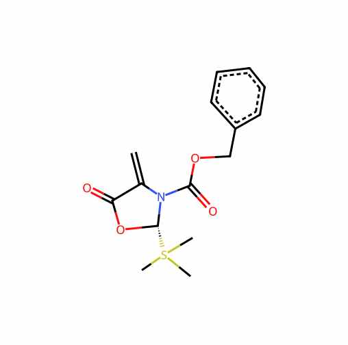 C=C1C(=O)O[C@@H](S(C)(C)C)N1C(=O)OCc1ccccc1